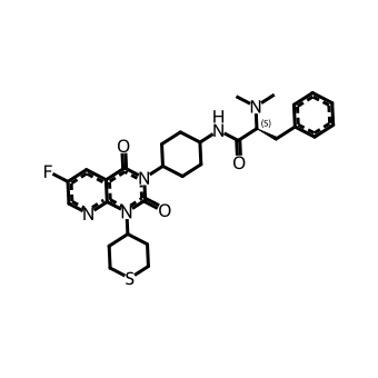 CN(C)[C@@H](Cc1ccccc1)C(=O)NC1CCC(n2c(=O)c3cc(F)cnc3n(C3CCSCC3)c2=O)CC1